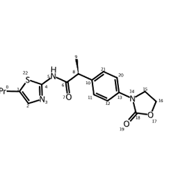 CC(C)c1cnc(NC(=O)[C@@H](C)c2ccc(N3CCOC3=O)cc2)s1